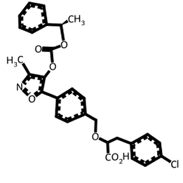 Cc1noc(-c2ccc(COC(Cc3ccc(Cl)cc3)C(=O)O)cc2)c1OC(=O)O[C@H](C)c1ccccc1